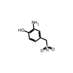 Nc1cc(C[SH](=O)=O)ccc1O